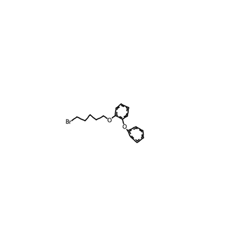 BrCCCCCOc1ccccc1Oc1ccccc1